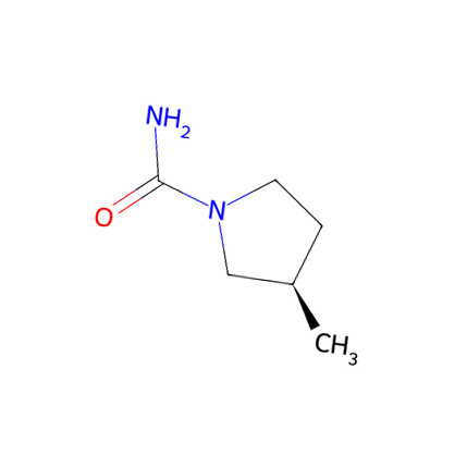 C[C@@H]1CCN(C(N)=O)C1